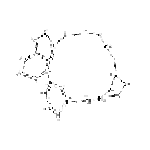 C1=c2cccc3c2=C(C1)CCCCCC1CCN(C1)Nc1cc-3nnn1